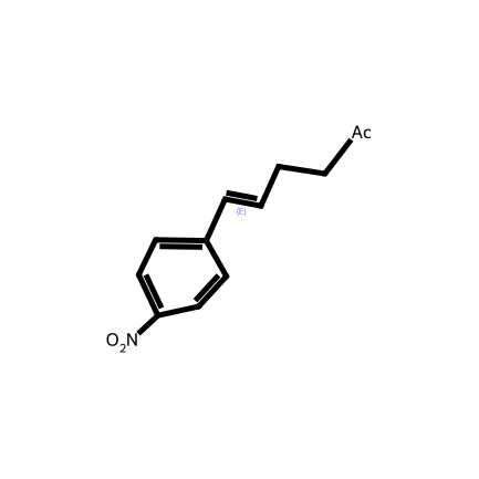 CC(=O)CC/C=C/c1ccc([N+](=O)[O-])cc1